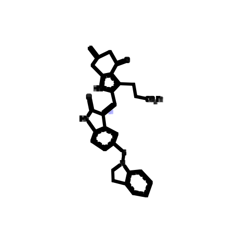 C=C1CC(=O)c2c([nH]c(/C=C3\C(=O)Nc4ccc(SN5CCc6ccccc65)cc43)c2CCC(=O)OCC)C1